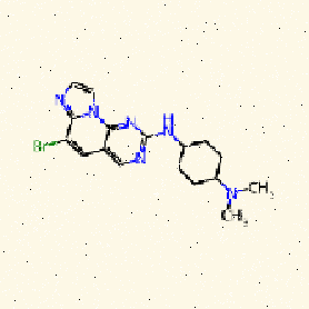 CN(C)C1CCC(Nc2ncc3cc(Br)c4nccn4c3n2)CC1